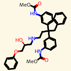 COC(=O)Nc1cccc(C(CCNC[C@H](O)COc2ccccc2)(Cc2ccccc2)c2cccc(NC(=O)OC)c2)c1